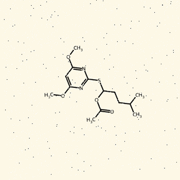 COc1cc(OC)nc(SC(CCC(C)C)OC(C)=O)n1